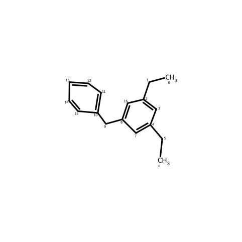 CCc1cc(CC)cc(Cc2ccccc2)c1